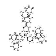 c1cc(N(c2ccc(-c3ccc4c(ccc5ccccc54)c3)cc2)c2cc3c4c(cccc4c2)-c2ccccc2-3)cc(-n2c3ccccc3c3ccccc32)c1